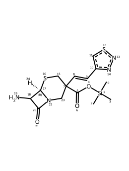 C[Si](C)(C)OC(=O)C1(C=Cc2csnn2)CS[C@@H]2C(N)C(=O)N2C1